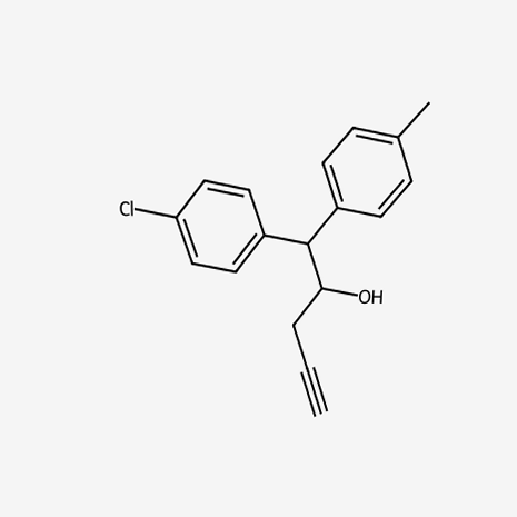 C#CCC(O)C(c1ccc(C)cc1)c1ccc(Cl)cc1